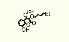 CCC=CCCOc1c(OC(C)C)c2cccc(O)c2oc1=O